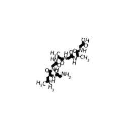 CC(C)C[C@H](NC(=O)CN)C(=O)NCC(=O)N[C@@H](C)C(=O)NCC(=O)N[C@@H](C)C(=O)NCC(=O)O